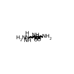 N=C(N)NCCC[C@H](N)C(=O)OC(=O)CCN